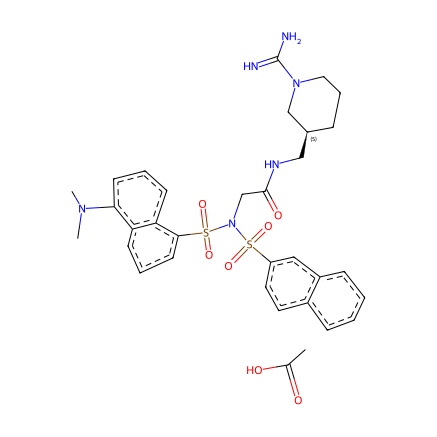 CC(=O)O.CN(C)c1cccc2c(S(=O)(=O)N(CC(=O)NC[C@@H]3CCCN(C(=N)N)C3)S(=O)(=O)c3ccc4ccccc4c3)cccc12